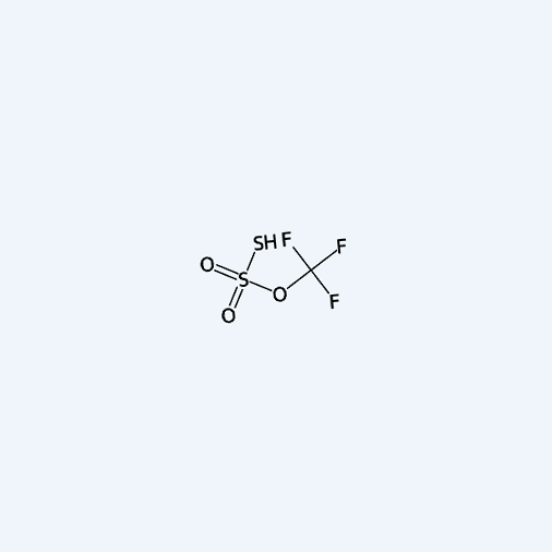 O=S(=O)(S)OC(F)(F)F